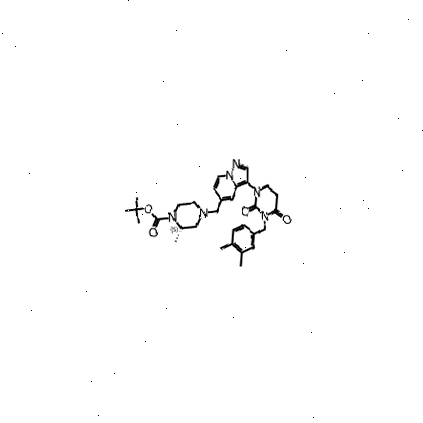 Cc1ccc(CN2C(=O)CCN(c3cnn4ccc(CN5CCN(C(=O)OC(C)(C)C)[C@@H](C)C5)cc34)C2=O)cc1C